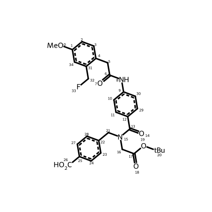 COc1ccc(CC(=O)Nc2ccc(C(=O)N(CC(=O)OC(C)(C)C)Cc3ccc(C(=O)O)cc3)cc2)c(CF)c1